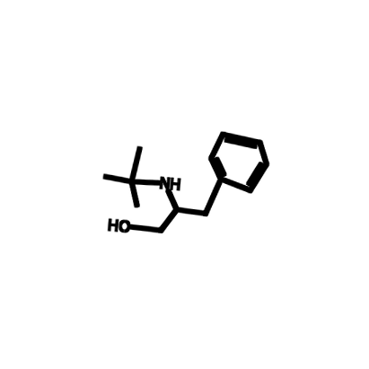 CC(C)(C)NC(CO)Cc1ccccc1